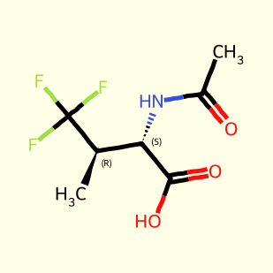 CC(=O)N[C@H](C(=O)O)[C@@H](C)C(F)(F)F